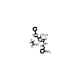 Nc1ccccc1CC(=O)NC1C(=O)N2C(C(=O)O)=C(c3cnc(-c4ccccc4)s3)CSC12.O=C(O)C(F)(F)F